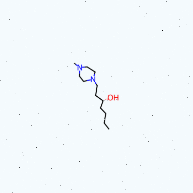 CCCC[C@@H](O)CCN1CCN(C)CC1